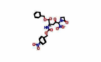 O=C(N[C@H](CC(=O)C(N1CCC1=O)[N+](=O)[O-])C(=O)OCc1ccccc1)OCc1ccc([N+](=O)[O-])cc1